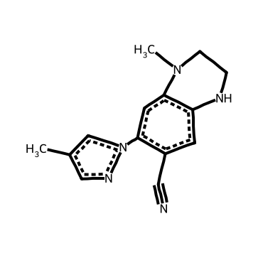 Cc1cnn(-c2cc3c(cc2C#N)NCCN3C)c1